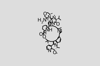 CCn1c(-c2cccnc2[C@H](C)OC)c2c3cc(ccc31)-c1csc(n1)C[C@H](NC(=O)[C@H](C(C)C)N(C)C(=O)N1[C@H](C)COC[C@@]1(C)N)C(=O)N1CCC[C@H](N1)C(=O)OCC(C)(C)C2